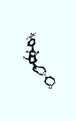 Cn1c(-c2ccc(S(C)(=O)=O)cc2)nc2c(F)cc(C3CCN(C4CCCNCC4)CC3)cc21